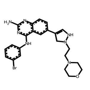 Nc1nc(Nc2cccc(Br)c2)c2cc(C3=CNN(CCN4CCOCC4)C3)ccc2n1